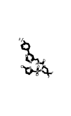 O=C(NCc1cc(-c2ccc(C(F)(F)F)cc2)ncn1)[C@@H]1CC(F)(F)CN1S(=O)(=O)c1ccc(Cl)s1